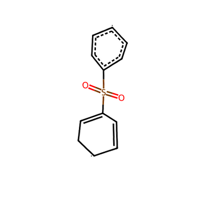 O=S(=O)(C1=CC[CH]C=C1)c1cc[c]cc1